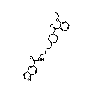 CCOc1ccccc1C(=O)N1CCC(CCCCNC(=O)c2ccc3nccn3c2)CC1